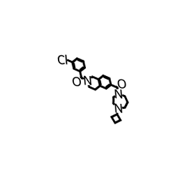 O=C(c1ccc2c(c1)CCN(C(=O)c1cccc(Cl)c1)C2)N1CCCN(C2CCC2)CC1